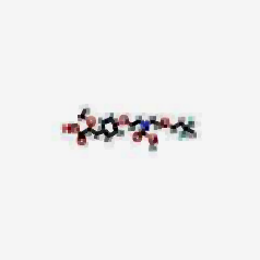 CCOC(Cc1ccc(OCCN(CCOCCC(C)(F)F)C(=O)OC)cc1)C(=O)O